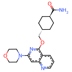 NC(=O)[C@H]1CC[C@H](COc2nc(N3CCOCC3)cc3ncccc23)CC1